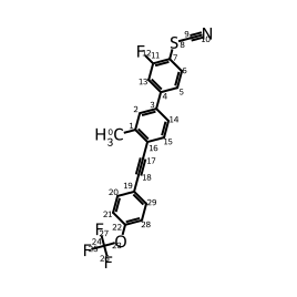 Cc1cc(-c2ccc(SC#N)c(F)c2)ccc1C#Cc1ccc(OC(F)(F)F)cc1